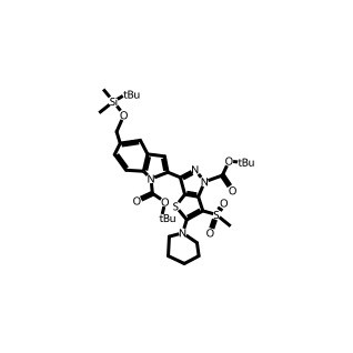 CC(C)(C)OC(=O)n1nc(-c2cc3cc(CO[Si](C)(C)C(C)(C)C)ccc3n2C(=O)OC(C)(C)C)c2sc(N3CCCCC3)c(S(C)(=O)=O)c21